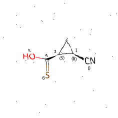 N#C[C@@H]1C[C@@H]1C(O)=S